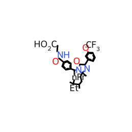 CCCC(c1ccc(C(=O)NCCC(=O)O)cc1)N1C(=O)C(c2cccc(OC(F)(F)F)c2)=NC1(C)CCC(C)C(C)(C)CC